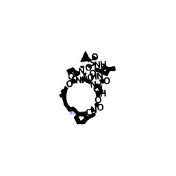 C=CC(=O)N(C)C[C@@H]1NC(=O)OCC(C)(C)CC/C=C/c2cccc3c2CN(C3)C(=O)O[C@@H]2C[C@@H](C(=O)NC3(C(=O)NS(=O)(=O)C4CC4)CC(=C)C3)N(C2)C1=O